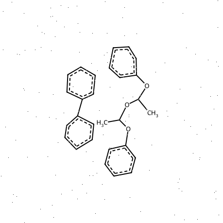 CC(Oc1ccccc1)OC(C)Oc1ccccc1.c1ccc(-c2ccccc2)cc1